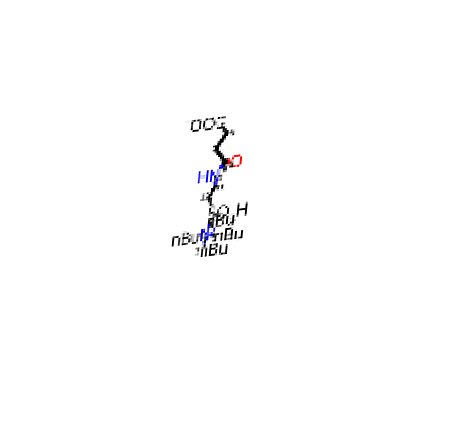 CCCC[N+](CCCC)(CCCC)CCCC.O=C([O-])CCC(=O)NCCS(=O)(=O)O